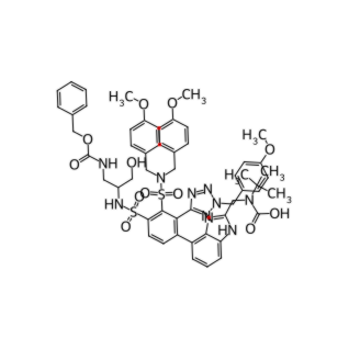 COc1ccc(CN(Cc2ccc(OC)cc2)S(=O)(=O)c2c(S(=O)(=O)NC(CO)CNC(=O)OCc3ccccc3)ccc(-c3cccc4[nH]c(CN(C(=O)O)C(C)(C)C)nc34)c2-c2nnn(Cc3ccc(OC)cc3)n2)cc1